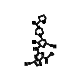 N#Cc1cc(Nc2nc(NC3CC3)c3ncc(C#N)n3n2)c(Cl)c(N2CCN(C(=O)C3CCCO3)CC2)c1